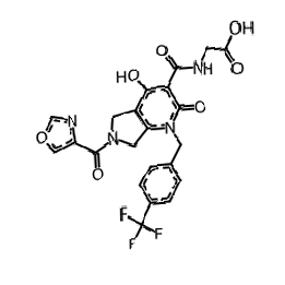 O=C(O)CNC(=O)c1c(O)c2c(n(Cc3ccc(C(F)(F)F)cc3)c1=O)CN(C(=O)c1cocn1)C2